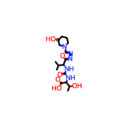 CC(C)C(NC(=O)NC(C(=O)O)C(C)O)c1nnc(N2CCC[C@@H](O)C2)o1